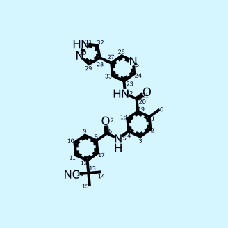 Cc1ccc(NC(=O)c2cccc(C(C)(C)C#N)c2)cc1C(=O)Nc1cncc(-c2cn[nH]c2)c1